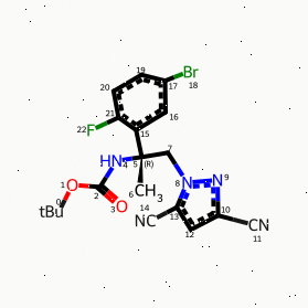 CC(C)(C)OC(=O)N[C@@](C)(Cn1nc(C#N)cc1C#N)c1cc(Br)ccc1F